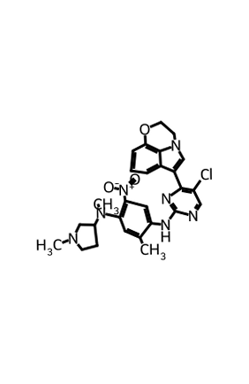 Cc1cc(N(C)C2CCN(C)C2)c([N+](=O)[O-])cc1Nc1ncc(Cl)c(-c2cn3c4c(cccc24)OCC3)n1